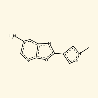 Cn1cc(-c2nc3cc(N)cnc3o2)cn1